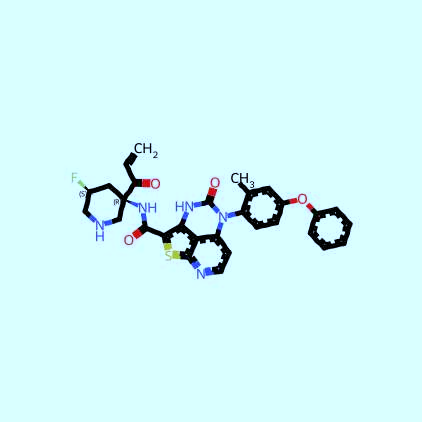 C=CC(=O)[C@]1(NC(=O)c2sc3nccc4c3c2NC(=O)N4c2ccc(Oc3ccccc3)cc2C)CNC[C@@H](F)C1